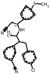 CSc1ccc([C@H](CC#N)NC(C)C(Cc2ccc(Cl)cc2)c2cccc(C#N)c2)cc1